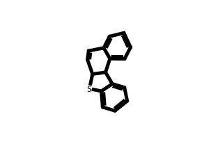 C1=CC2Sc3ccccc3C2c2ccccc21